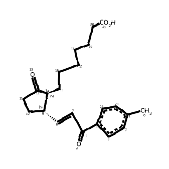 Cc1ccc(C(=O)C=C[C@@H]2CCC(=O)[C@H]2CCCCCCC(=O)O)cc1